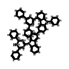 c1ccc(C2=NC(n3c4ccccc4c4cc(-c5ccc6c(c5)c5c(-c7nc(-c8ccccc8)cc(-c8ccccc8)n7)cccc5n6-c5ccccc5)ccc43)=NC(c3ccccc3)N2)cc1